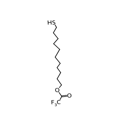 O=C(OCCCCCCCCCCCS)C(F)(F)F